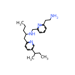 CCCC(Cc1ccc(C(C)CC)cn1)NCc1cccc(CCN)n1